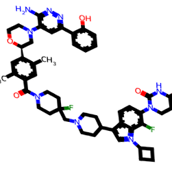 Cc1cc([C@@H]2CN(c3cc(-c4ccccc4O)nnc3N)CCO2)c(C)cc1C(=O)N1CCC(F)(CN2CCC(c3cn(C4CCC4)c4c(F)c(N5CCC(=O)NC5=O)ccc34)CC2)CC1